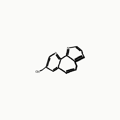 O=Nc1cnc2c(ccc3cccnc32)c1